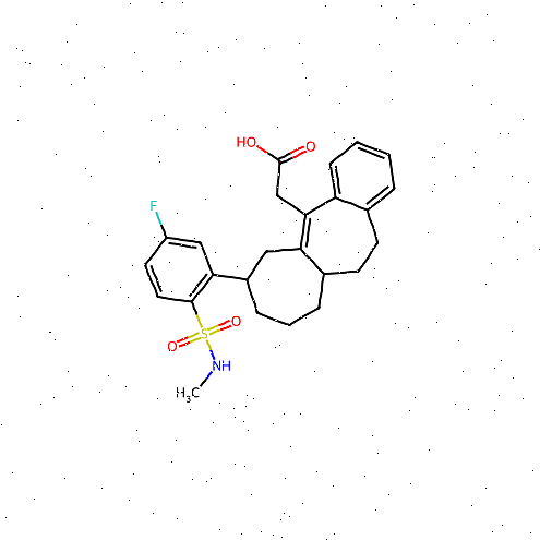 CNS(=O)(=O)c1ccc(F)cc1C1CCCC2CCc3ccccc3C(CC(=O)O)=C2C1